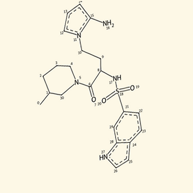 CC1CCCN(C(=O)C(CCn2cccc2N)NS(=O)(=O)c2ccc3cc[nH]c3c2)C1